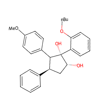 CCCCOc1ccccc1[C@]1(O)C(c2ccc(OC)cc2)[C@H](c2ccccc2)C[C@H]1O